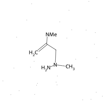 C=C(CN(C)N)NC